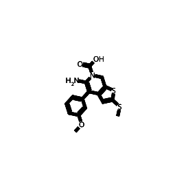 COc1cccc(C2=C(N)N(C(=O)O)Cc3sc(SC)cc32)c1